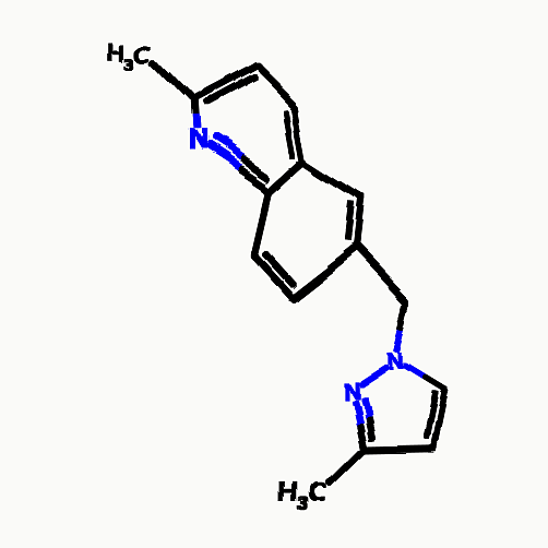 Cc1ccc2cc(Cn3ccc(C)n3)ccc2n1